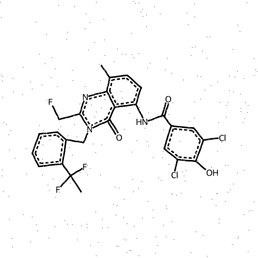 Cc1ccc(NC(=O)c2cc(Cl)c(O)c(Cl)c2)c2c(=O)n(Cc3ccccc3C(C)(F)F)c(CF)nc12